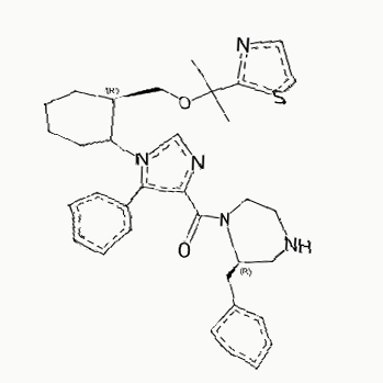 CC(C)(OC[C@@H]1CCCCC1n1cnc(C(=O)N2CCNC[C@H]2Cc2ccccc2)c1-c1ccccc1)c1nccs1